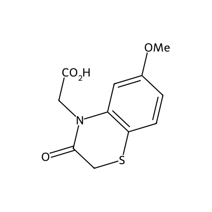 COc1ccc2c(c1)N(CC(=O)O)C(=O)CS2